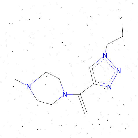 C=C(c1cn(CCC)nn1)N1CCN(C)CC1